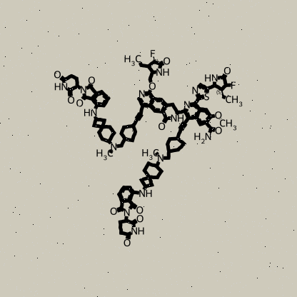 CCC1C(COc2ncc(C#CC3CCC(CN(C)C4CCC5(CC4)CC(Nc4cccc6c4C(=O)N(C4CCC(=O)NC4=O)C6=O)C5)CC3)c3cc4c(cc23)CC(c2nc(-c3ncc(C5NC(=O)C(F)[C@H]5CC)s3)c3cc(OC)c(C(N)=O)cc3c2C#CC2CCC(CN(C)C3CCC5(CC3)CC(Nc3cccc6c3C(=O)N(C3CCC(=O)NC3=O)C6=O)C5)CC2)NC4=O)NC(=O)[C@H]1F